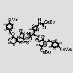 COc1ccc(COC(=O)C2=C(CI)C[S+]([O-])[C@@H]3[C@H](NC(=O)/C(=N\O[C@@H](CC(=O)OC(C)(C)C)C(=O)OCc4ccc(OC)cc4)c4csc(NC(=O)OC(C)(C)C)n4)C(=O)N23)cc1